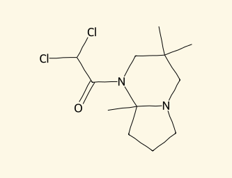 CC1(C)CN2CCCC2(C)N(C(=O)C(Cl)Cl)C1